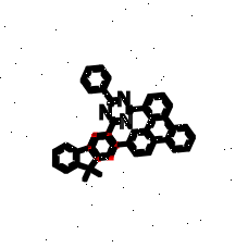 CC1(C)c2ccccc2-c2ccc(-c3ccc4c5ccccc5c5cccc(-c6nc(-c7ccccc7)nc(-c7ccccc7)n6)c5c4c3)cc21